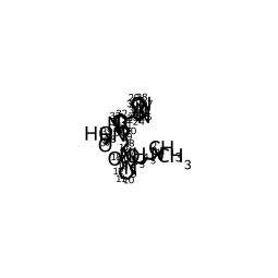 CN(C)CC=CC(=O)N1CCCCC1C(=O)NCCc1cc2c(-c3cnn4ncccc34)ccnc2[nH]1.O=CO